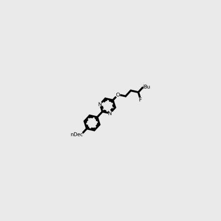 CCCCCCCCCCc1ccc(-c2ncc(OCCC(F)C(C)CC)cn2)cc1